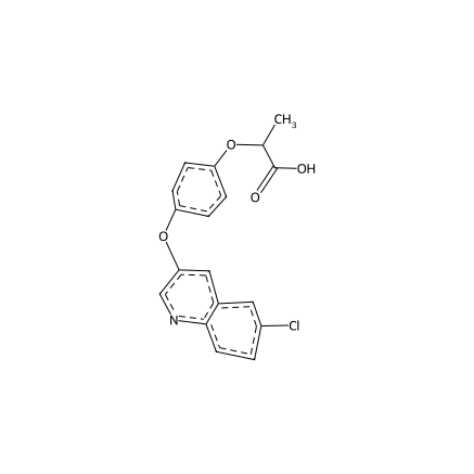 CC(Oc1ccc(Oc2cnc3ccc(Cl)cc3c2)cc1)C(=O)O